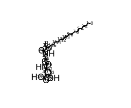 CCC=CCC=CCC=CCCCCCCCCOC(CC)C(=O)NCCOC(=O)Nc1ccc(O)c(C(=O)O)c1